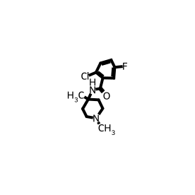 CN1CCC(C)(NC(=O)c2cc(F)ccc2Cl)CC1